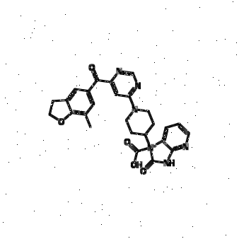 Cc1cc(C(=O)c2cc(N3CCC([N+]4(C(=O)O)C(=O)Nc5ncccc54)CC3)ncn2)cc2c1OCC2